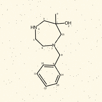 CC1(O)CNCCN(Cc2ccccc2)C1